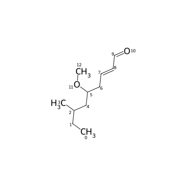 CCC(C)CC(CC=CC=O)OC